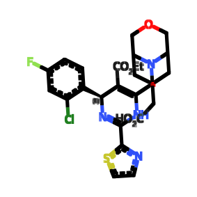 CCOC(=O)C1=C(CN2C3COCC2CC(CC(=O)O)C3)NC(c2nccs2)=N[C@H]1c1ccc(F)cc1Cl